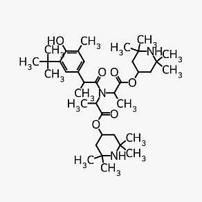 Cc1cc(C(C)C(=O)N(C(C)C(=O)OC2CC(C)(C)NC(C)(C)C2)C(C)C(=O)OC2CC(C)(C)NC(C)(C)C2)cc(C(C)(C)C)c1O